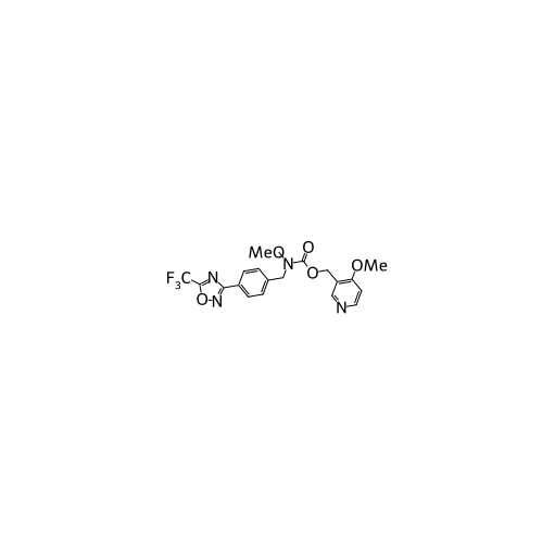 COc1ccncc1COC(=O)N(Cc1ccc(-c2noc(C(F)(F)F)n2)cc1)OC